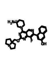 N[C@H]1CCCN(c2nc(OCC34CCCN3CCC4)nc3c(F)c(-c4cc(O)cc5ccccc45)ncc23)C1